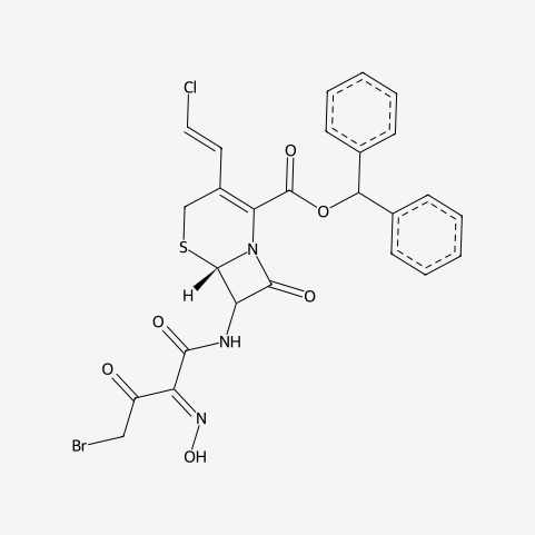 O=C(CBr)C(=NO)C(=O)NC1C(=O)N2C(C(=O)OC(c3ccccc3)c3ccccc3)=C(/C=C/Cl)CS[C@@H]12